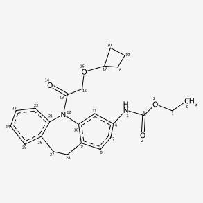 CCOC(=O)Nc1ccc2c(c1)N(C(=O)COC1CCC1)c1ccccc1CC2